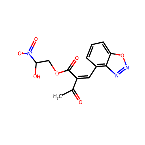 CC(=O)C(=Cc1cccc2onnc12)C(=O)OCC(O)[N+](=O)[O-]